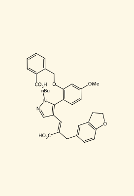 CCCCn1ncc(C=C(Cc2ccc3c(c2)CCO3)C(=O)O)c1-c1ccc(OC)cc1OCc1ccccc1C(=O)O